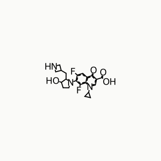 O=C(O)c1cn(C2CC2)c2c(F)c(N3CCC(O)C3CC3CNC3)c(F)cc2c1=O